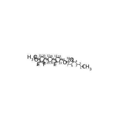 CCCCCC1CCC(OCc2ccc(-c3ccc(-c4ccc(OC)c(F)c4F)cc3)c(F)c2)CO1